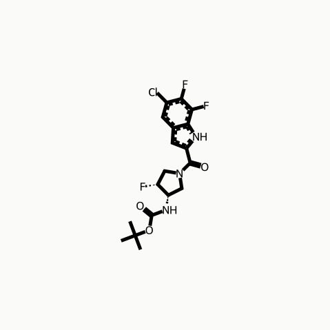 CC(C)(C)OC(=O)N[C@H]1CN(C(=O)c2cc3cc(Cl)c(F)c(F)c3[nH]2)C[C@H]1F